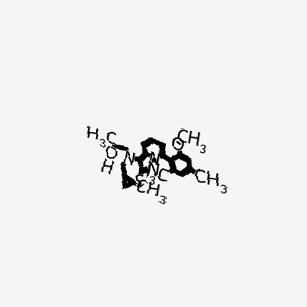 COc1cc(C)cc(C)c1-c1cccc2c(N(CC(C)O)CC3CC3)c(SC)nn12